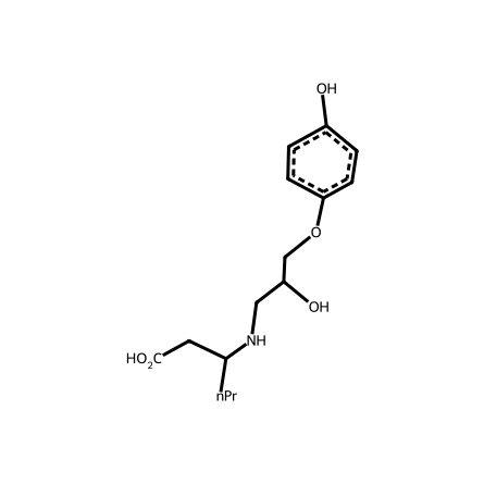 CCCC(CC(=O)O)NCC(O)COc1ccc(O)cc1